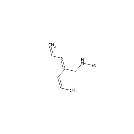 C=C/N=C(\C=C/C)CNCC